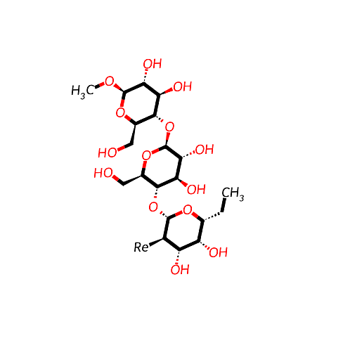 CC[C@H]1O[C@@H](O[C@H]2[C@H](O)[C@@H](O)[C@H](O[C@H]3[C@H](O)[C@@H](O)[C@H](OC)O[C@@H]3CO)O[C@@H]2CO)[C@H]([Re])[C@@H](O)[C@H]1O